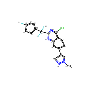 Cn1cc(-c2ccc3c(Cl)nc(C(F)(F)c4ccc(F)cc4)nc3c2)cn1